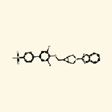 CS(=O)(=O)c1ccc(-c2cc(F)c(OCC3C4CN(c5nc6ccccc6o5)CC34)c(F)c2)cc1